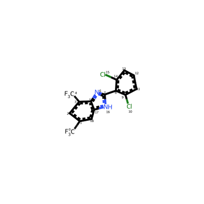 FC(F)(F)c1cc(C(F)(F)F)c2nc(-c3c(Cl)cccc3Cl)[nH]c2c1